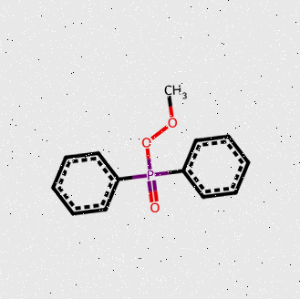 COOP(=O)(c1ccccc1)c1ccccc1